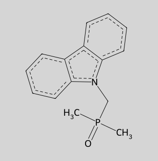 CP(C)(=O)Cn1c2ccccc2c2ccccc21